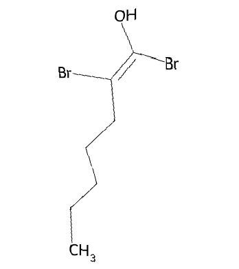 CCCCCC(Br)=C(O)Br